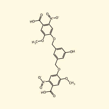 COc1cc(C(=O)O)c([N+](=O)[O-])cc1OCc1cc(O)cc(COc2cc([N+](=O)[O-])c(C(=O)O)cc2OC)c1